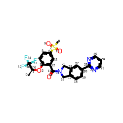 C[C@H](Oc1ccc(S(C)(=O)=O)cc1C(=O)N1Cc2ccc(-c3ncccn3)cc2C1)C(F)(F)F